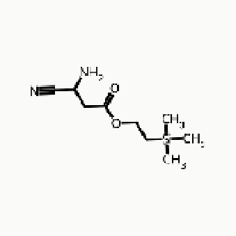 C[Si](C)(C)CCOC(=O)CC(N)C#N